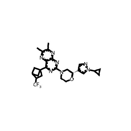 Cc1nc2nc(N3CCO[C@@H](c4cnn(C5CC5)c4)C3)nc(C34CC(C3)C(C(F)(F)F)C4)c2nc1C